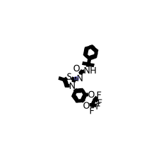 Cc1cn(-c2ccc3c(c2)OC(F)(F)C(F)(F)O3)/c(=N/C(=O)NC(C)(C)c2ccccc2)s1